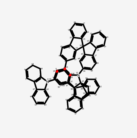 C1=Cc2c(n(-c3nc(-c4ccc5c(c4)C4(c6ccccc6-5)c5ccccc5-c5ccc(-n6c7ccccc7c7ccccc76)cc54)nc(-n4c5ccccc5c5ccccc54)n3)c3ccccc23)CC1